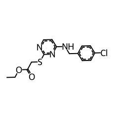 CCOC(=O)CSc1nccc(NCc2ccc(Cl)cc2)n1